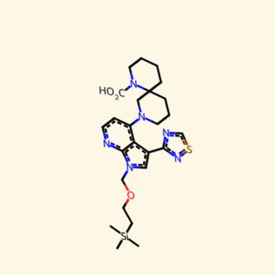 C[Si](C)(C)CCOCn1cc(-c2ncsn2)c2c(N3CCCC4(CCCCN4C(=O)O)C3)ccnc21